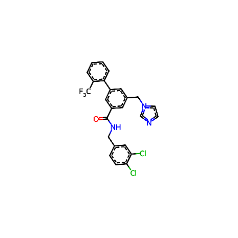 O=C(NCc1ccc(Cl)c(Cl)c1)c1cc(Cn2ccnc2)cc(-c2ccccc2C(F)(F)F)c1